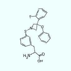 NC(Cc1cccc(SN2CC(Oc3ccccc3)(c3ccccc3F)C2)c1)C(=O)O